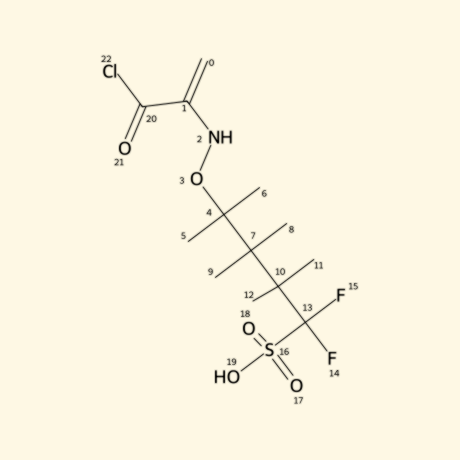 C=C(NOC(C)(C)C(C)(C)C(C)(C)C(F)(F)S(=O)(=O)O)C(=O)Cl